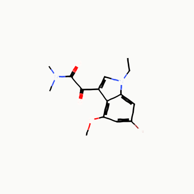 CCn1cc(C(=O)C(=O)N(C)C)c2c(OC)cc(Br)cc21